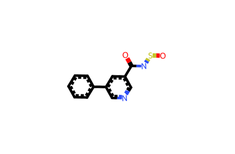 O=S=NC(=O)c1cncc(-c2ccccc2)c1